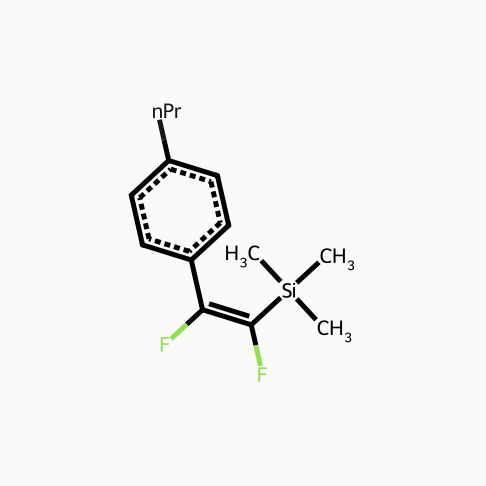 CCCc1ccc(/C(F)=C(/F)[Si](C)(C)C)cc1